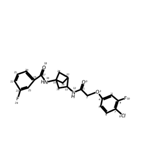 O=C(COc1ccc(Cl)c(F)c1)NC1CC2(NC(=O)c3cccc(F)c3)CC1C2